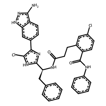 Nc1n[nH]c2cc(-c3nc([C@H](Cc4ccccc4)NC(=O)CCc4cc(Cl)ccc4C(=O)Nc4ccccc4)[nH]c3Cl)ccc12